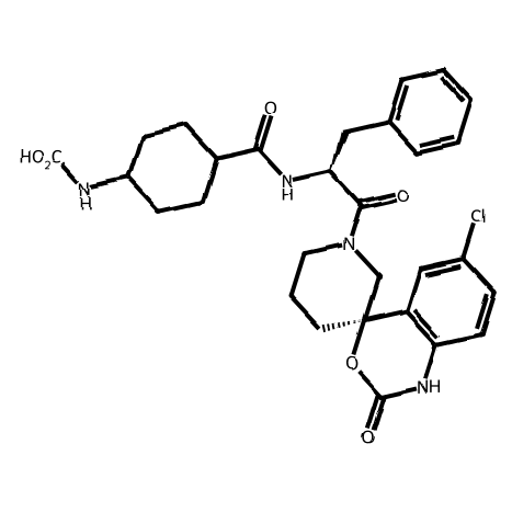 O=C(O)NC1CCC(C(=O)N[C@@H](Cc2ccccc2)C(=O)N2CCC[C@@]3(C2)OC(=O)Nc2ccc(Cl)cc23)CC1